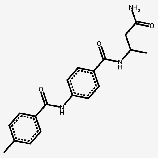 Cc1ccc(C(=O)Nc2ccc(C(=O)NC(C)CC(N)=O)cc2)cc1